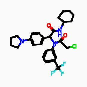 O=C(NC1CCCCC1)C(c1ccc(N2CCCC2)cc1)N(C(=O)CCl)c1cccc(C(F)(F)F)c1